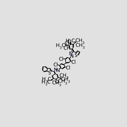 CC(C)(C)C1=CC(=C(/N=N/c2cc(Cl)c(-c3cc(Cl)c(/N=N/C(=C4C=C(C(C)(C)C)C(=O)C(C(C)(C)C)=C4)c4cc5ccccc5s4)cc3Cl)cc2Cl)c2cccs2)C=C(C(C)(C)C)C1=O